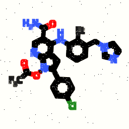 CCc1c(Cn2ccnc2)cccc1Nc1c(C(N)=O)cnc2c1cc(-c1ccc(Cl)cc1)n2OC(=O)C(F)(F)F